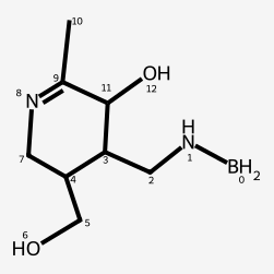 BNCC1C(CO)CN=C(C)C1O